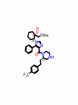 COC[C@]1(O)CCCC[C@H]1n1cnc(C(=O)N2CCNC[C@H]2CCc2ccc(C(F)(F)F)cc2)c1-c1ccccc1